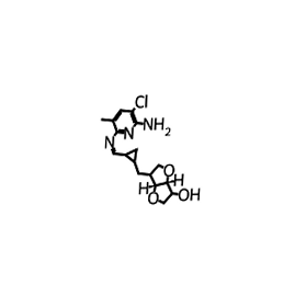 Cc1cc(Cl)c(N)nc1/N=C\C1CC1CC1CO[C@@H]2C(O)CO[C@H]12